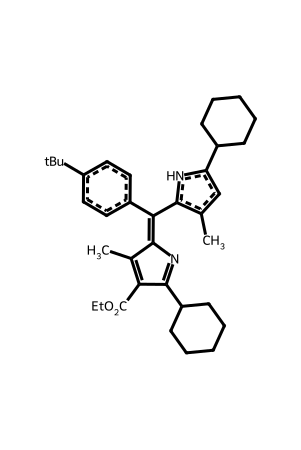 CCOC(=O)C1=C(C)/C(=C(\c2ccc(C(C)(C)C)cc2)c2[nH]c(C3CCCCC3)cc2C)N=C1C1CCCCC1